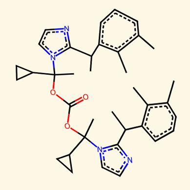 Cc1cccc(C(C)c2nccn2C(C)(OC(=O)OC(C)(C2CC2)n2ccnc2C(C)c2cccc(C)c2C)C2CC2)c1C